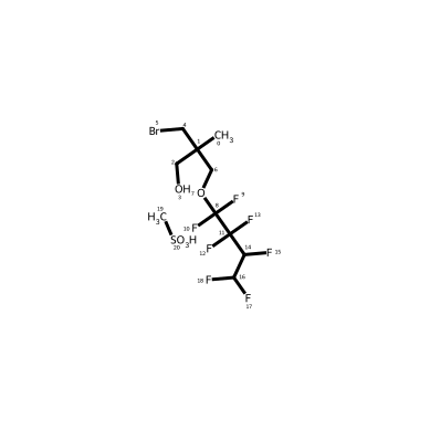 CC(CO)(CBr)COC(F)(F)C(F)(F)C(F)C(F)F.CS(=O)(=O)O